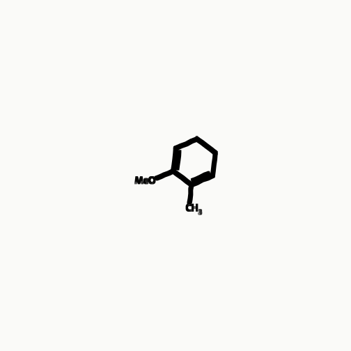 COC1=C[CH]CC=C1C